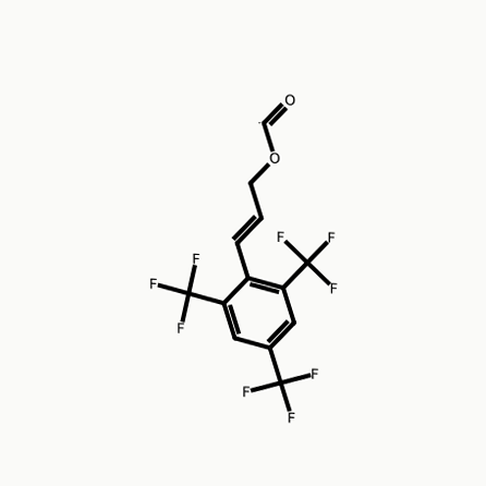 O=[C]OC/C=C/c1c(C(F)(F)F)cc(C(F)(F)F)cc1C(F)(F)F